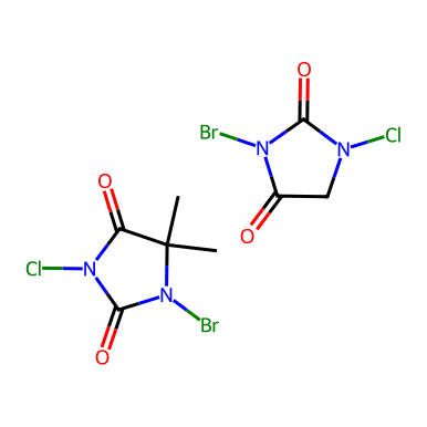 CC1(C)C(=O)N(Cl)C(=O)N1Br.O=C1CN(Cl)C(=O)N1Br